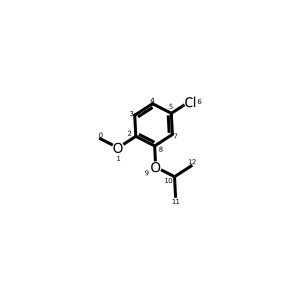 COc1ccc(Cl)cc1OC(C)C